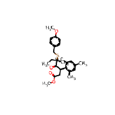 CCC(C)(SCc1ccc(OC)cc1)C(=O)C(CC(=O)OC)c1c(C)cc(C)cc1C